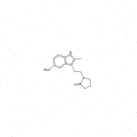 C=C1CCCN1CCc1c(C)[nH]c2ccc(OC)cc12